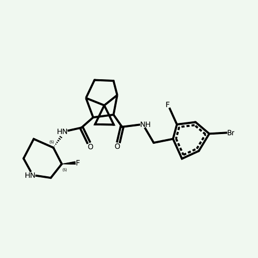 O=C(NCc1ccc(Br)cc1F)C1C(C(=O)N[C@H]2CCNC[C@@H]2F)C2CCC1C21CC1